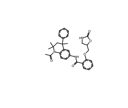 CC(=O)N1c2ccc(NC(=O)c3ccccc3OCC3CNC(=O)O3)cc2C(C)(c2ccccc2)CC1(C)C